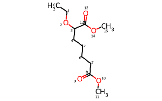 CCOC(C[CH]CCC(=O)OC)C(=O)OC